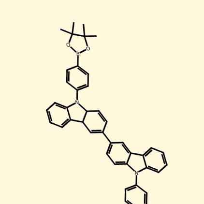 CC1(C)OB(c2ccc(N3c4ccccc4C4C=C(c5ccc6c(c5)c5ccccc5n6-c5ccccc5)C=CC43)cc2)OC1(C)C